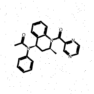 CC(=O)N(c1ccccc1)[C@@H]1C[C@H](C)N(C(=O)c2cnccn2)c2ccccc21